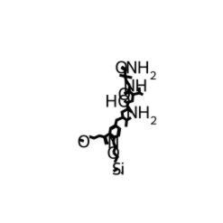 COCCCc1cn(COCC[Si](C)(C)C)c2ccc(CC(CC(N)C(O)CC(C(=O)NCC(C)(C)C(N)=O)C(C)C)C(C)C)cc12